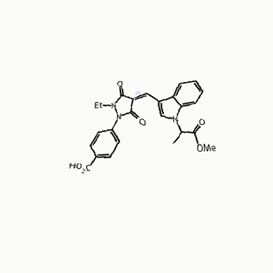 CCN1C(=O)/C(=C/c2cn(C(C)C(=O)OC)c3ccccc23)C(=O)N1c1ccc(C(=O)O)cc1